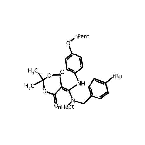 CCCCCCCN(Cc1ccc(C(C)(C)C)cc1)C(Nc1ccc(OCCCCC)cc1)=C1C(=O)OC(C)(C)OC1=O